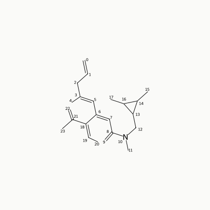 C=CC/C(C)=C/C(=C/C(=C)N(C)CC1C(C)C1C)C(=C\C)/C(=C)C